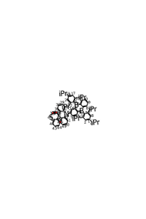 CC(C)c1cc(C(C)C)c(B2c3ccccc3B(c3c(C(C)C)cc(C(C)C)cc3C(C)C)c3cc(N4c5ccccc5C5(c6ccccc6Sc6ccccc65)c5ccccc54)ccc32)c(C(C)C)c1